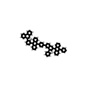 c1ccc(-c2c3ccccc3c(-c3cc4ccc(-c5ccc(-c6c7ccccc7c(-c7cccc8c7oc7c9ccccc9c9ccccc9c87)c7ccccc67)cc5)cc4c4c3oc3ccccc34)c3ccccc23)cc1